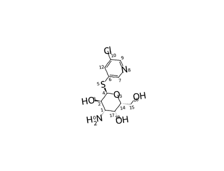 N[C@@H]1[C@@H](O)[C@@H](Sc2cncc(Cl)c2)O[C@H](CO)[C@@H]1O